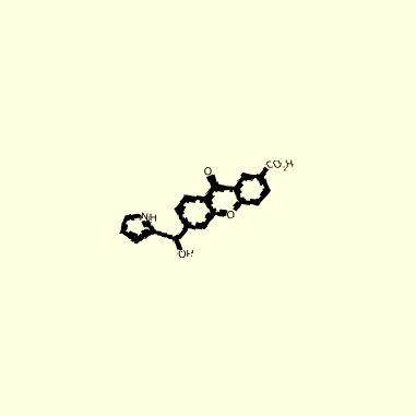 O=C(O)c1ccc2oc3cc(C(O)c4ccc[nH]4)ccc3c(=O)c2c1